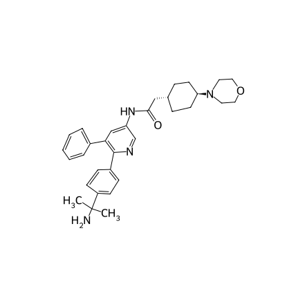 CC(C)(N)c1ccc(-c2ncc(NC(=O)C[C@H]3CC[C@H](N4CCOCC4)CC3)cc2-c2ccccc2)cc1